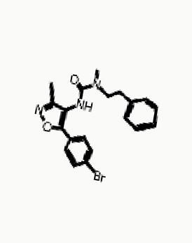 Cc1noc(-c2ccc(Br)cc2)c1NC(=O)N(C)CCc1ccccc1